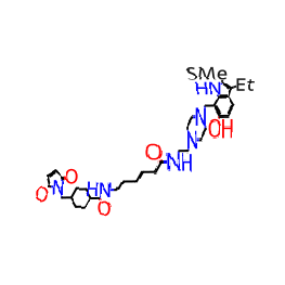 CCc1c(SC)[nH]c2c(CN3CCN(CCNC(=O)CCCCCNC(=O)C4CCC(CN5C(=O)C=CC5=O)CC4)CC3)c(O)ccc12